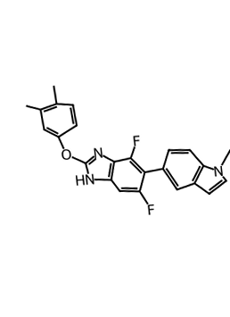 Cc1ccc(Oc2nc3c(F)c(-c4ccc5c(ccn5C)c4)c(F)cc3[nH]2)cc1C